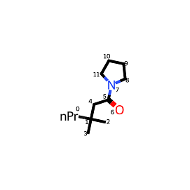 CCCC(C)(C)CC(=O)N1CCCC1